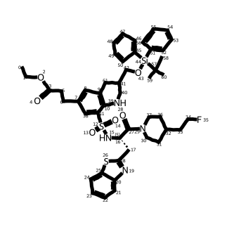 CCOC(=O)CCc1cc2c(c(S(=O)(=O)N[C@@H](Cc3nc4ccccc4s3)C(=O)N3CCC(CCF)CC3)c1)NCC(CO[Si](c1ccccc1)(c1ccccc1)C(C)(C)C)C2